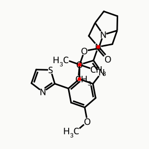 COc1cc(-c2nccs2)c2oc(N3CC4CCC(C3)N4C(=O)OC(C)(C)C)nc2c1